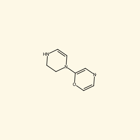 C1=COC(N2C=CNCC2)=C[N]1